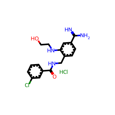 Cl.N=C(N)c1ccc(CNC(=O)c2cccc(Cl)c2)c(NCCO)c1